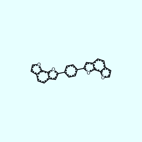 c1cc2ccc3cc(-c4ccc(-c5cc6ccc7ccoc7c6o5)cc4)oc3c2o1